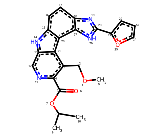 COCc1c(C(=O)OC(C)C)ncc2[nH]c3ccc4nc(-c5ccco5)[nH]c4c3c12